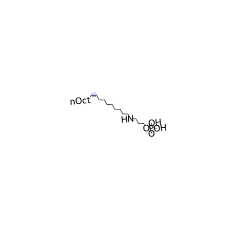 CCCCCCCC/C=C\CCCCCCCCNCCCOP(=O)(O)O